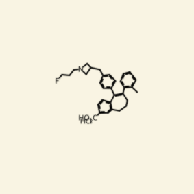 Cc1ccccc1C1=C(c2ccc(CC3CN(CCCF)C3)cc2)c2ccc(C(=O)O)cc2CCC1.Cl